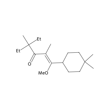 CCC(C)(CC)C(=O)/C(C)=C(\OC)C1CCC(C)(C)CC1